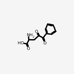 NC(CC(=O)C(=O)c1ccccc1)C(=O)O